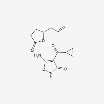 C=CCC1CCC(=O)O1.Nc1o[nH]c(=O)c1C(=O)C1CC1